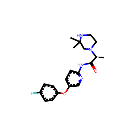 C[C@@H](C(=O)Nc1ccc(Oc2ccc(F)cc2)cn1)N1CCNC(C)(C)C1